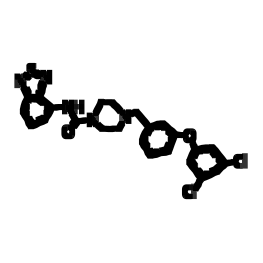 O=C(Nc1cccc2nsnc12)N1CCN(Cc2cccc(Oc3cc(Cl)cc(Cl)c3)c2)CC1